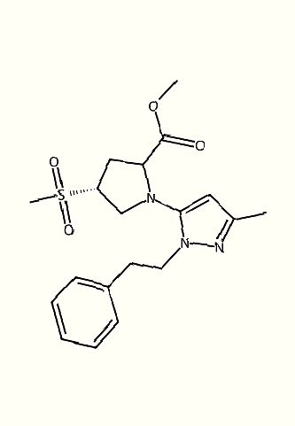 COC(=O)C1C[C@@H](S(C)(=O)=O)CN1c1cc(C)nn1CCc1ccccc1